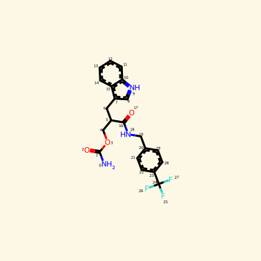 NC(=O)OCC(Cc1c[nH]c2ccccc12)C(=O)NCc1ccc(C(F)(F)F)cc1